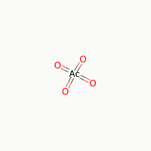 [O]=[Ac](=[O])(=[O])=[O]